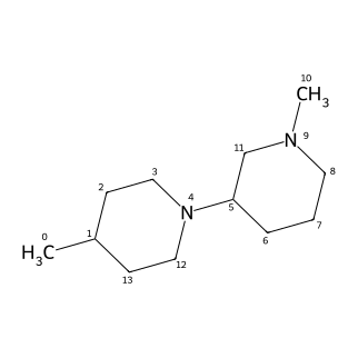 CC1CCN(C2CCCN(C)C2)CC1